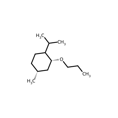 CCCO[C@@H]1C[C@H](C)CCC1C(C)C